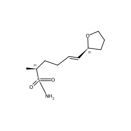 C[C@@H](CCC=C[C@@H]1CCCO1)S(N)(=O)=O